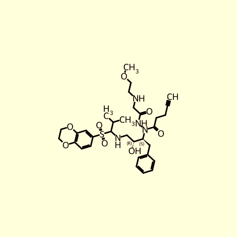 C#CCCC(=O)N(NC(=O)CNCCOC)[C@@H](Cc1ccccc1)[C@H](O)CNC(C(C)C)S(=O)(=O)c1ccc2c(c1)OCCO2